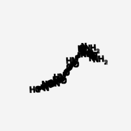 C#Cc1cnc(N2CCN(c3ncc(C(=O)NCCOCCOCCC(=O)NCCCCn4nc(-c5ccc6oc(N)nc6c5)c5c(N)ncnc54)cn3)CC2)nc1